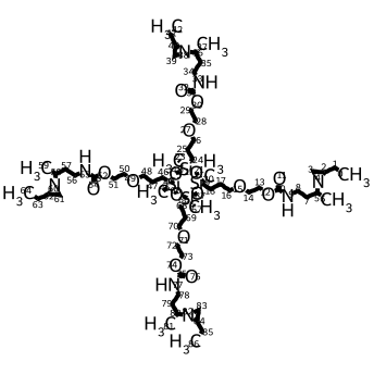 CCC1CN1C(C)CCNC(=O)OCCOCCC[Si]1(C)O[Si](C)(CCCOCCOC(=O)NCCC(C)N2CC2CC)O[Si](C)(CCCOCCOC(=O)NCCC(C)N2CC2CC)O[Si](C)(CCCOCCOC(=O)NCCC(C)N2CC2CC)O1